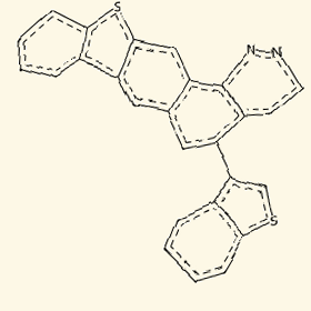 c1ccc2c(-c3cc4cc5c(cc4c4nnccc34)sc3ccccc35)csc2c1